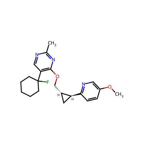 COc1ccc([C@H]2C[C@@H]2COc2nc(C)ncc2C2(F)CCCCC2)nc1